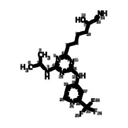 CC(C)Nc1nc(CCCCC(O)C=N)nc(Nc2ccnc(C(F)(F)F)c2)n1